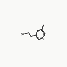 Cc1cncc(CCBr)c1